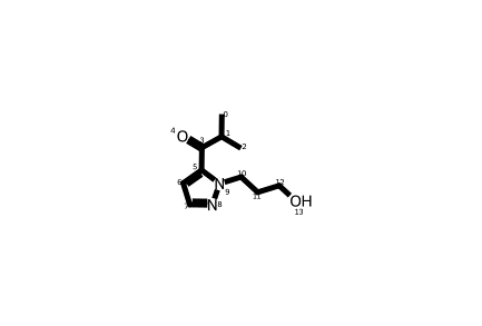 CC(C)C(=O)c1ccnn1CCCO